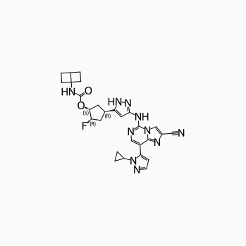 N#Cc1cn2c(Nc3cc([C@H]4C[C@@H](F)[C@@H](OC(=O)NC56CCC5CC6)C4)[nH]n3)ncc(-c3ccnn3C3CC3)c2n1